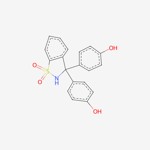 O=S1(=O)NC(c2ccc(O)cc2)(c2ccc(O)cc2)c2ccccc21